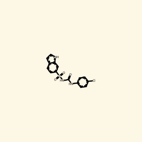 O=C(Nc1ccc(Cl)cc1)NS(=O)(=O)c1ccc2cc[nH]c2c1